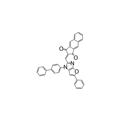 O=C1C(=Cc2nc3oc(-c4ccccc4)cc3n2-c2ccc(-c3ccccc3)cc2)C(=O)c2cc3ccccc3cc21